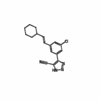 N#Cc1[nH]nnc1-c1cc(Cl)cc(/C=C/C2CCCCC2)c1